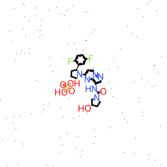 O=C(Nc1cnn2ccc(N3CCC[C@H]3c3cc(F)ccc3F)nc12)N1CC[C@@H](O)C1.O=S(=O)(O)O